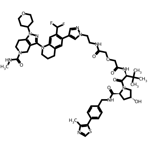 CNC(=O)N1CCc2c(c(N3CCCc4cc(-c5cnn(CCNC(=O)COCC(=O)N[C@H](C(=O)N6C[C@H](O)C[C@H]6C(=O)NCc6ccc(-c7scnc7C)cc6)C(C)(C)C)c5)c(C(F)F)cc43)nn2C2CCOCC2)C1